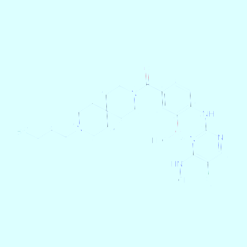 CNc1nc(Nc2ccc(C(=O)N3CCC4(CCN(CCCBr)CC4)CC3)cc2OC)ncc1Cl